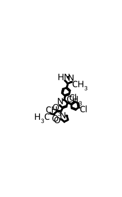 CC1=NNCC1c1ccc(C2N=c3oc(C(=O)C(C)C)c(N4CCCC4=O)c3=CC2(C)c2ccc(Cl)cc2)c(Cl)c1